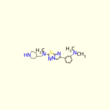 CN(C)c1cccc(-c2cn3nc(N(C)CC4CCNCC4)sc3n2)c1